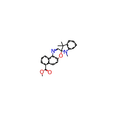 COC(=O)c1cccc2c3c(ccc12)OC1(C=N3)N(C)c2ccccc2C1(C)C